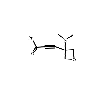 CC(C)C(=O)C#CC1(N(C)C)COC1